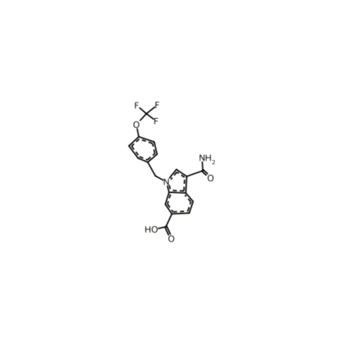 NC(=O)c1cn(Cc2ccc(OC(F)(F)F)cc2)c2cc(C(=O)O)ccc12